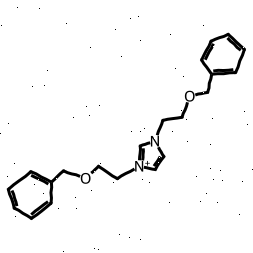 c1ccc(COCCn2cc[n+](CCOCc3ccccc3)c2)cc1